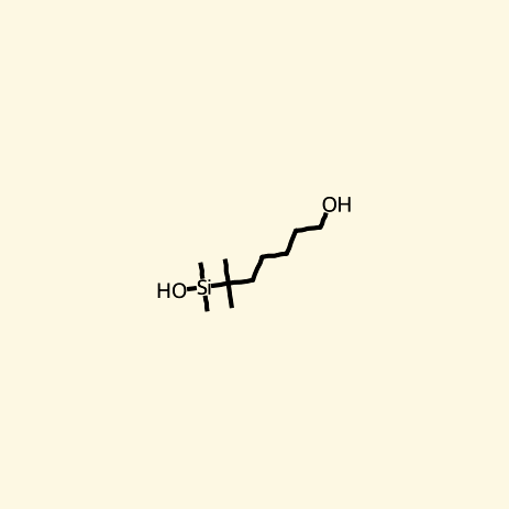 CC(C)(CCCCCO)[Si](C)(C)O